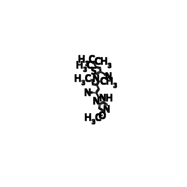 COc1cc2nc(C(C#N)=Cc3cc(C)n(-c4sc(C(C)(C)C)cc4C#N)c3C)[nH]c2cn1